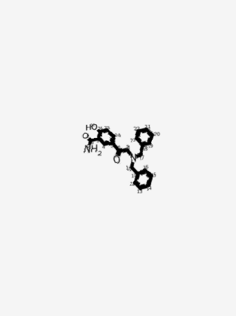 NC(=O)c1cc(C(=O)CN(Cc2ccccc2)Cc2ccccc2)ccc1O